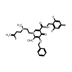 C=C(F)CCN(C)CCn1cc(C(=O)NCc2c(F)cc(F)cc2F)c(=O)c(OCc2ccccc2)c1C=O